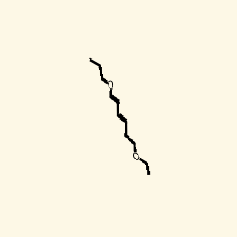 CCCOC=CC=CCCOCC